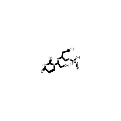 C#CCC(COP(=O)(O)OC(C)C)OC(CO)n1ccc(=O)[nH]c1=O